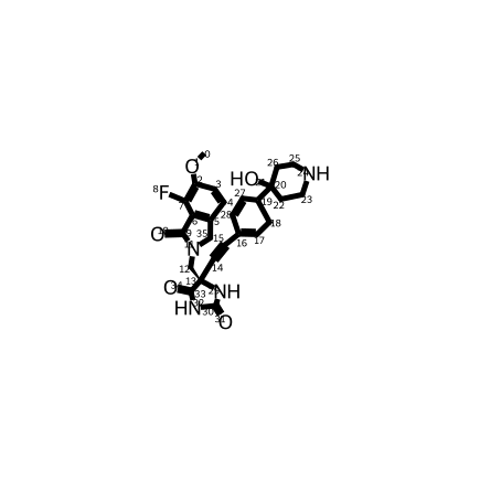 COc1ccc2c(c1F)C(=O)N(C[C@@]1(C#CC3=CCC(C4(O)CCNCC4)C=C3)NC(=O)NC1=O)C2